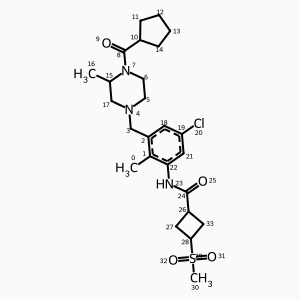 Cc1c(CN2CCN(C(=O)C3CCCC3)C(C)C2)cc(Cl)cc1NC(=O)C1CC(S(C)(=O)=O)C1